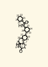 CN1C(=O)CC[C@]2(C)c3ccc(-c4cccc(NC(=O)c5ccccc5)c4)cc3CC[C@@H]12